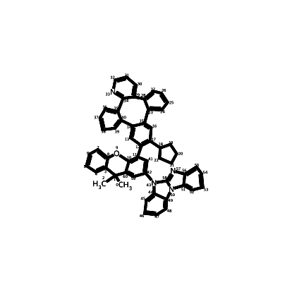 CC1(C)c2ccccc2Oc2c(-c3cc4c(cc3C3CCCC3)-c3ccccc3-c3cccnc3-c3ccccc3-4)cc(-n3c4ccccc4n4c5ccccc5nc34)cc21